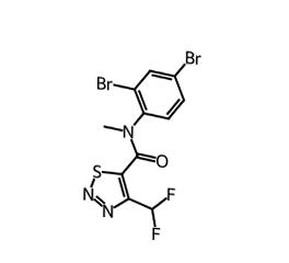 CN(C(=O)c1snnc1C(F)F)c1ccc(Br)cc1Br